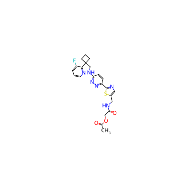 CC(=O)OCC(=O)NCc1cnc(-c2ccc(NCC3(c4ncccc4F)CCC3)nn2)s1